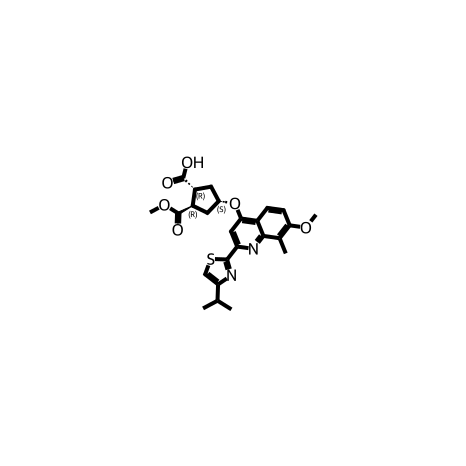 COC(=O)[C@@H]1C[C@@H](Oc2cc(-c3nc(C(C)C)cs3)nc3c(C)c(OC)ccc23)C[C@H]1C(=O)O